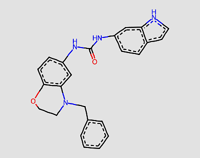 O=C(Nc1ccc2c(c1)N(Cc1ccccc1)CCO2)Nc1ccc2cc[nH]c2c1